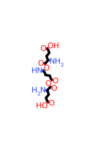 N=C(CCC(=O)OC(=O)C(N)CCC(=O)O)OC(=O)C(N)CCC(=O)O